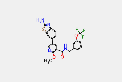 COc1ncc(-c2ccc3nc(N)sc3c2)cc1C(=O)NCc1cccc(OC(F)(F)F)c1